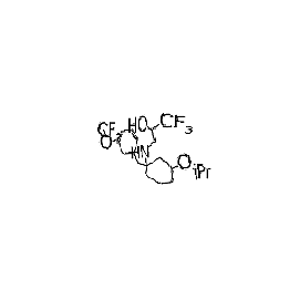 CC(C)OC1CCCC(Cc2cccc(OC(F)(F)F)c2)(NCC(O)C(F)(F)F)C1